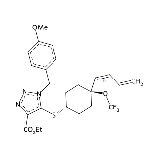 C=C/C=C\[C@]1(OC(F)(F)F)CC[C@H](Sc2c(C(=O)OCC)nnn2Cc2ccc(OC)cc2)CC1